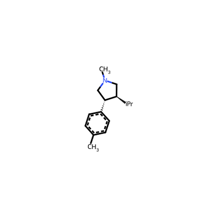 Cc1ccc([C@@H]2CN(C)C[C@H]2C(C)C)cc1